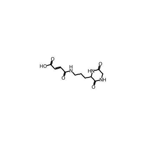 O=C(O)/C=C/C(=O)NCCCC1NC(=O)CNC1=O